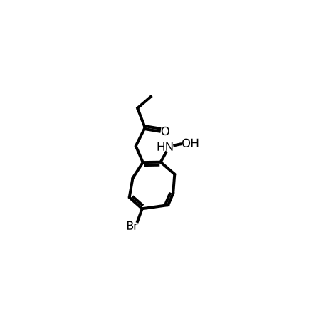 CCC(=O)C/C1=C(\NO)C/C=C\C(Br)=C/C1